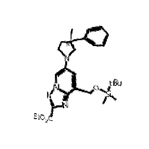 CCOC(=O)c1nc2c(CO[Si](C)(C)C(C)(C)C)cc(N3CC[C@](C)(c4ccccc4)C3)cn2n1